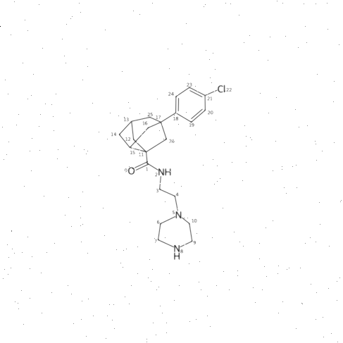 O=C(NCCN1CCNCC1)C12CC3CC1CC(c1ccc(Cl)cc1)(C3)C2